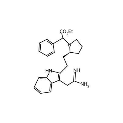 CCOC(=O)C(c1ccccc1)N1CCC[C@H]1CCc1[nH]c2ccccc2c1CC(=N)N